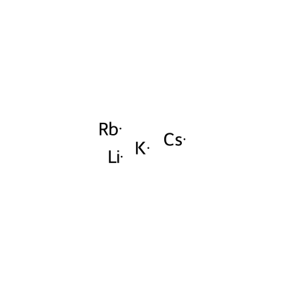 [Cs].[K].[Li].[Rb]